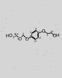 O=S(=O)(O)OCOc1ccc(OCCO)cc1